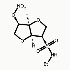 CCNS(=O)(=O)[C@@H]1CO[C@H]2[C@@H]1OC[C@H]2O[N+](=O)[O-]